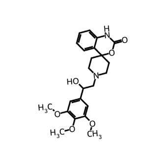 COc1cc(C(O)CN2CCC3(CC2)OC(=O)Nc2ccccc23)cc(OC)c1OC